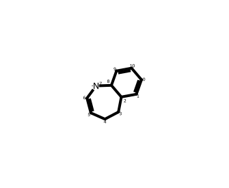 C1=CC2CCC=C[N]C2C=C1